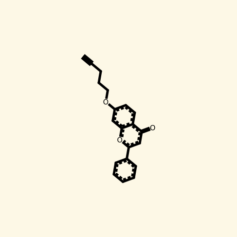 C#CCCCOc1ccc2c(=O)cc(-c3ccccc3)oc2c1